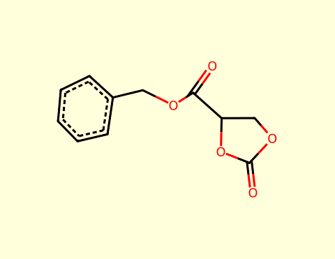 O=C1OCC(C(=O)OCc2ccccc2)O1